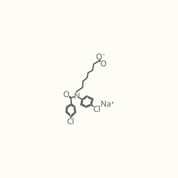 O=C([O-])CCCCCCCN(C(=O)c1ccc(Cl)cc1)c1ccc(Cl)cc1.[Na+]